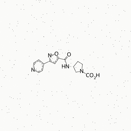 O=C(N[C@@H]1CCN(C(=O)O)C1)c1cc(-c2ccncc2)no1